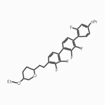 CCCc1ccc(-c2ccc(-c3ccc(CCC4CCC(OCC)CO4)c(F)c3F)c(F)c2F)c(F)c1